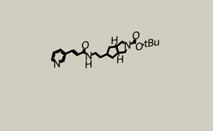 CC(C)(C)OC(=O)N1C[C@H]2CC(CCNC(=O)/C=C/c3cccnc3)C[C@@H]2C1